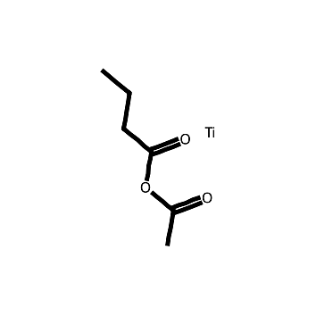 CCCC(=O)OC(C)=O.[Ti]